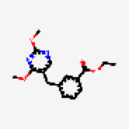 CCOC(=O)c1cccc(Cc2cnc(OC)nc2OC)c1